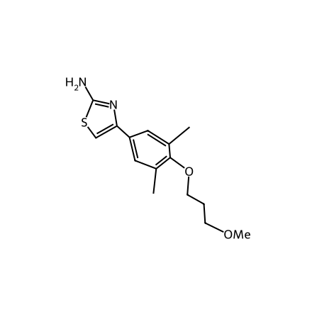 COCCCOc1c(C)cc(-c2csc(N)n2)cc1C